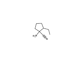 CCC1CCCC1(N)C#N